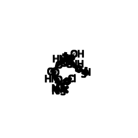 Cc1ncsc1-c1ccc(CNC(=O)[C@@H]2C[C@@H](O)CN2C(=O)[C@@H](NC(=O)COCCCS(=O)(=O)CCNC(=O)C[C@@H]2N=C(c3ccc(Cl)cc3)c3c(sc(C)c3C)-n3c(C)nnc32)C(C)(C)C)cc1